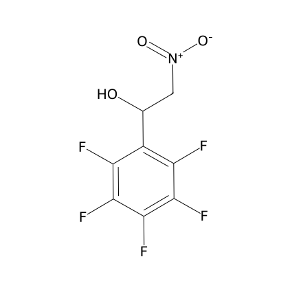 O=[N+]([O-])CC(O)c1c(F)c(F)c(F)c(F)c1F